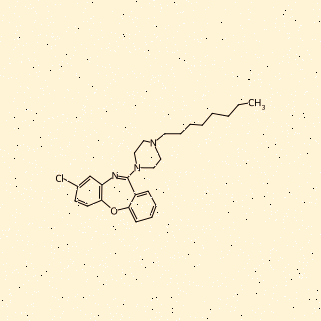 CCCCCCCCN1CCN(C2=Nc3cc(Cl)ccc3Oc3ccccc32)CC1